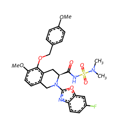 COc1ccc(COc2c(OC)ccc3c2C[C@@H](C(=O)NS(=O)(=O)N(C)C)N(c2nc4ccc(F)cc4o2)C3)cc1